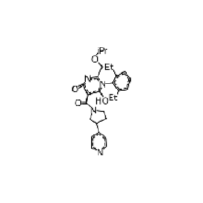 CCc1cccc(CC)c1-n1c(COC(C)C)nc(=O)c(C(=O)N2CCC(c3ccncc3)C2)c1O